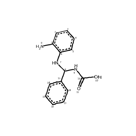 Nc1ccccc1NC(NC(=O)O)c1ccccc1